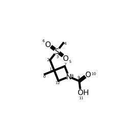 CC1(CS(C)(=O)=O)CN(C(=O)O)C1